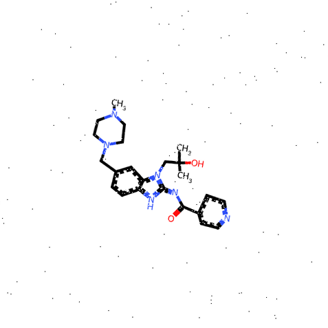 CN1CCN(Cc2ccc3[nH]c(=NC(=O)c4ccncc4)n(CC(C)(C)O)c3c2)CC1